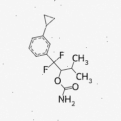 CC(C)C(OC(N)=O)C(F)(F)c1cccc(C2CC2)c1